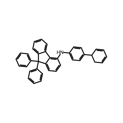 C1=CCC(c2ccc(Nc3cccc4c3-c3ccccc3C4(c3ccccc3)c3ccccc3)cc2)C=C1